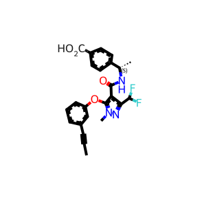 CC#Cc1cccc(Oc2c(C(=O)N[C@@H](C)c3ccc(C(=O)O)cc3)c(C(F)F)nn2C)c1